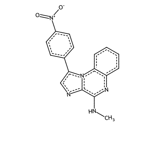 CNc1nc2ccccc2n2c(-c3ccc([N+](=O)[O-])cc3)cnc12